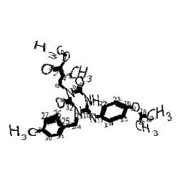 COC(=O)[C@H](C)Cn1c(=O)[nH]/c(=N\c2ccc(OC(C)C)cc2)n(Cc2ccc(C)cc2)c1=O